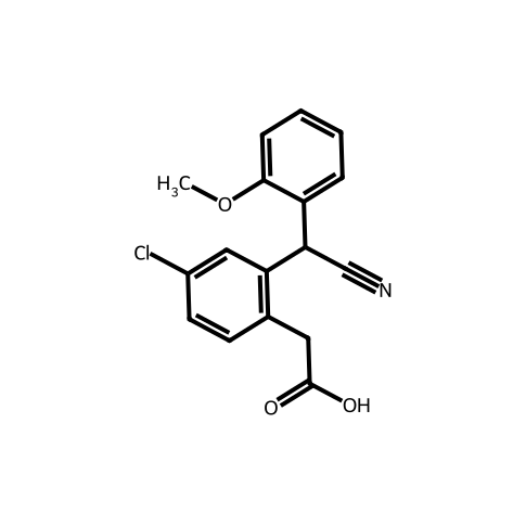 COc1ccccc1C(C#N)c1cc(Cl)ccc1CC(=O)O